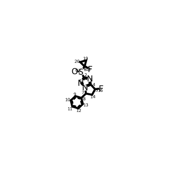 [O-][S+](c1nc2n(n1)C(c1ccccc1)CC2F)C1(F)CC1